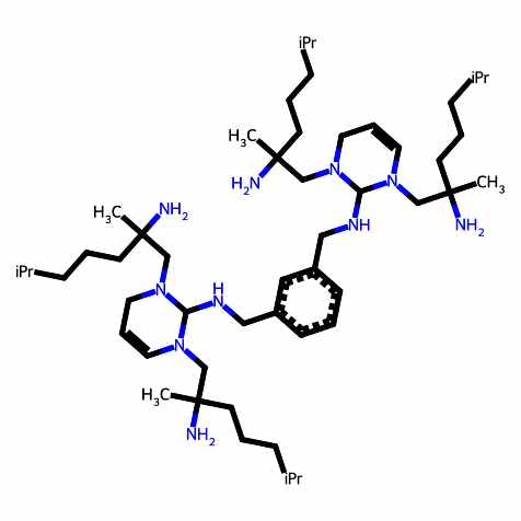 CC(C)CCCC(C)(N)CN1C=CCN(CC(C)(N)CCCC(C)C)C1NCc1cccc(CNC2N(CC(C)(N)CCCC(C)C)C=CCN2CC(C)(N)CCCC(C)C)c1